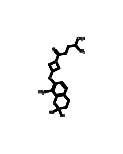 NC(CCC(=O)N1CC(Oc2ccc3c(c2C(=O)O)O[B-](O)(O)CC3)C1)C(=O)O